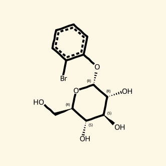 OC[C@H]1O[C@H](Oc2ccccc2Br)[C@H](O)[C@@H](O)[C@@H]1O